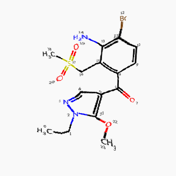 CCn1ncc(C(=O)c2ccc(Br)c(N)c2CS(C)(=O)=O)c1OC